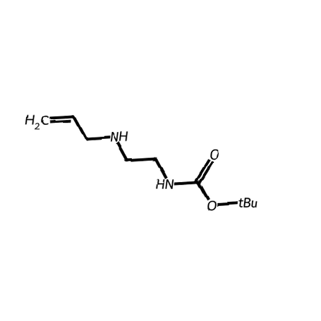 C=CCNCCNC(=O)OC(C)(C)C